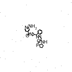 Nc1cc(C(=O)N2CC(c3nn(CC(=O)NC4CCCC4(F)F)c4ccccc34)C2)ccn1